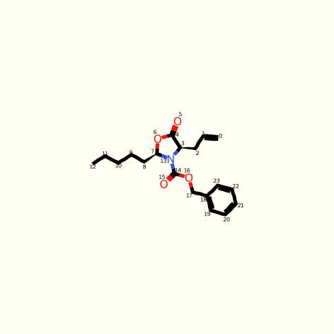 C=CC[C@@H]1C(=O)O[C@H](CCCCC)N1C(=O)OCc1ccccc1